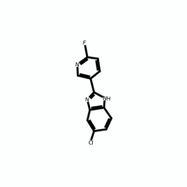 Fc1ccc(-c2nc3cc(Cl)ccc3[nH]2)cn1